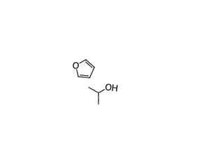 CC(C)O.c1ccoc1